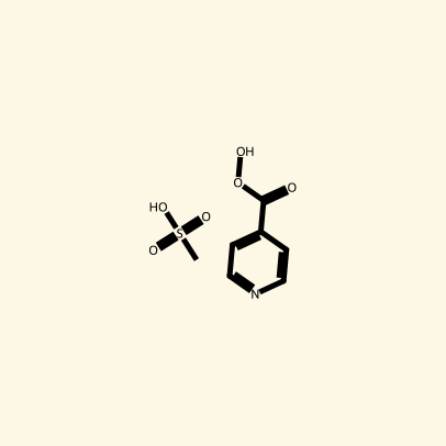 CS(=O)(=O)O.O=C(OO)c1ccncc1